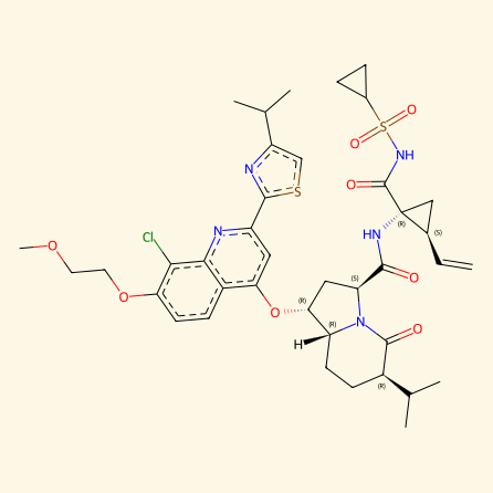 C=C[C@@H]1C[C@]1(NC(=O)[C@@H]1C[C@@H](Oc2cc(-c3nc(C(C)C)cs3)nc3c(Cl)c(OCCOC)ccc23)[C@H]2CC[C@H](C(C)C)C(=O)N21)C(=O)NS(=O)(=O)C1CC1